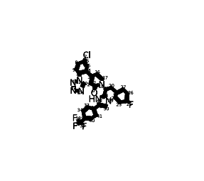 O=c1cc(-c2cc(Cl)ccc2-n2cnnn2)ccn1C(Cc1ccc(F)cc1)c1ncc(-c2ccc(C(F)(F)F)cc2)[nH]1